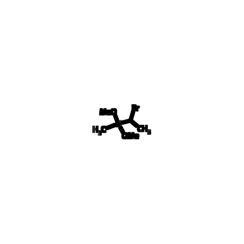 CO[Si](C)(OC)C(C)Br